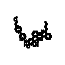 CCCCc1nn(-c2cccc(-c3cc(Nc4ccc(N5CCN(CCOC)CC5)cn4)c(=O)n(C)c3)c2CO)c(=O)c2ccccc12